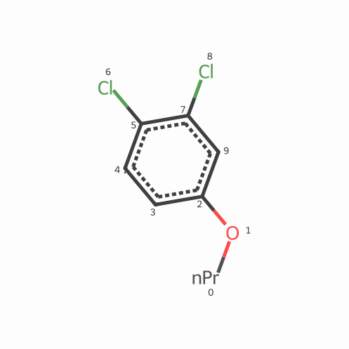 CCCOc1c[c]c(Cl)c(Cl)c1